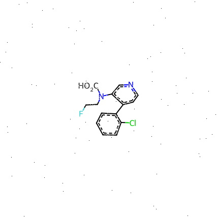 O=C(O)N(CCF)c1cnccc1-c1ccccc1Cl